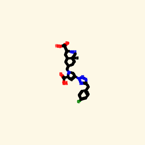 O=C(O)C1CC2CC(CN3C[C@@H](n4nnc(Cc5ccc(Cl)cc5)n4)C[C@H]3C(=O)O)CC[C@H]2CN1